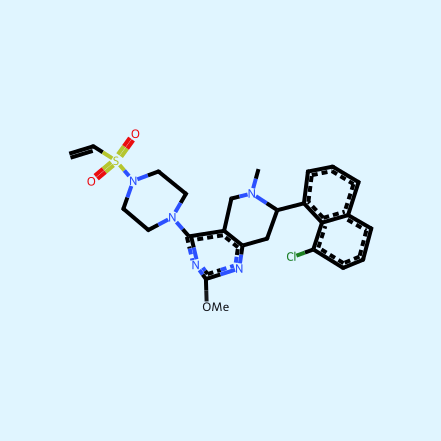 C=CS(=O)(=O)N1CCN(c2nc(OC)nc3c2CN(C)C(c2cccc4cccc(Cl)c24)C3)CC1